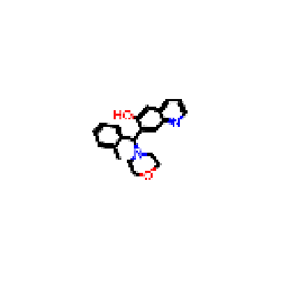 Cc1ccccc1C(c1cc2ncccc2cc1O)N1CCOCC1